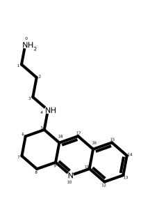 NCCCNC1CCCc2nc3ccccc3cc21